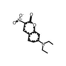 CCN(CC)c1ccc2cc([N+](=O)[O-])c(=O)oc2c1